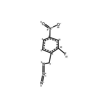 [N-]=[N+]=NCc1ccc([N+](=O)[O-])cc1F